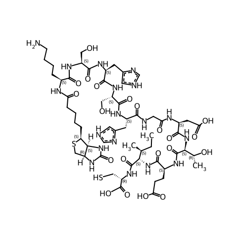 CC[C@H](C)[C@H](NC(=O)[C@H](CCC(=O)O)NC(=O)[C@@H](NC(=O)[C@H](CC(=O)O)NC(=O)CNC(=O)[C@H](Cc1c[nH]cn1)NC(=O)[C@H](CO)NC(=O)[C@H](Cc1c[nH]cn1)NC(=O)[C@H](CO)NC(=O)[C@H](CCCCN)NC(=O)CCCC[C@@H]1SC[C@@H]2NC(=O)N[C@@H]21)[C@@H](C)O)C(=O)N[C@@H](CS)C(=O)O